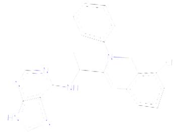 CC(Nc1ncnc2[nH]cnc12)C1=Cc2cccc(Cl)c2CN1c1ccccc1